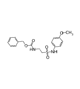 COc1ccc(NS(=O)(=O)CCNC(=O)OCc2ccccc2)cc1